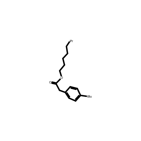 CC(C)CCCCCOC(=O)Cc1ccc(C(C)(C)C)cc1